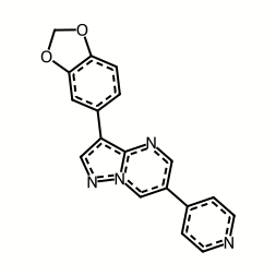 c1cc(-c2cnc3c(-c4ccc5c(c4)OCO5)cnn3c2)ccn1